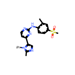 Cc1cc(S(C)(=O)=O)ccc1Nc1nccc(-c2cnc(C)n2C(C)C)n1